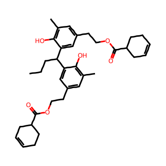 CCCC(c1cc(CCOC(=O)C2CC=CCC2)cc(C)c1O)c1cc(CCOC(=O)C2CC=CCC2)cc(C)c1O